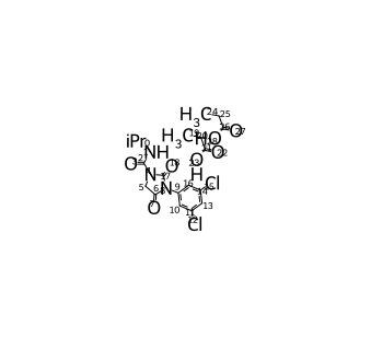 CC(C)NC(=O)N1CC(=O)N(c2cc(Cl)cc(Cl)c2)C1=O.CCC(=O)O.CCC(=O)O